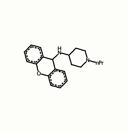 CCCN1CCC(NC2c3ccccc3Oc3ccccc32)CC1